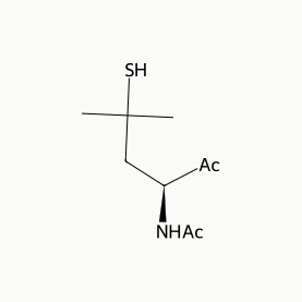 CC(=O)N[C@@H](CC(C)(C)S)C(C)=O